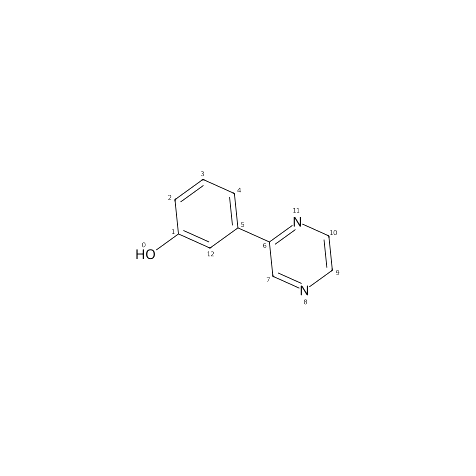 Oc1cccc(-c2cnccn2)c1